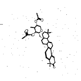 CC(=O)OC1C(C)[C@H](OC(C)=O)CO[C@H]1C[C@@]12CCC3C(=CCC4[C@@]3(C)CCC3C(C)(C)C(=O)CC[C@@]34C)C1CC(C)(C)CC2